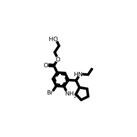 CCNC(c1cc(C(=O)OCCO)cc(Br)c1N)C1CCCC1